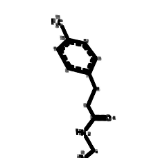 CC(C)CNC(=O)CCc1ccc(C(F)(F)F)cc1